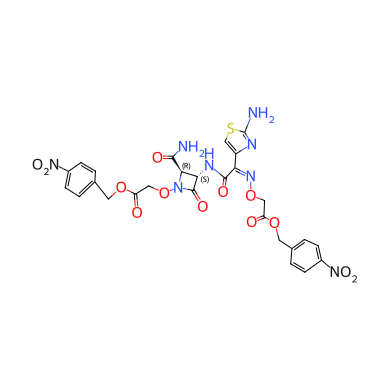 NC(=O)[C@H]1[C@H](NC(=O)C(=NOCC(=O)OCc2ccc([N+](=O)[O-])cc2)c2csc(N)n2)C(=O)N1OCC(=O)OCc1ccc([N+](=O)[O-])cc1